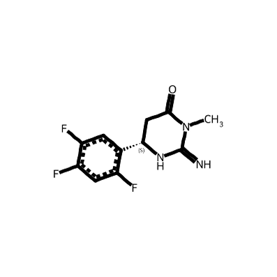 CN1C(=N)N[C@H](c2cc(F)c(F)cc2F)CC1=O